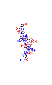 CC(C)C[C@H](NC(=O)[C@@H](NC(=O)[C@H](CCC(=O)O)NC(=O)[C@H](Cc1c[nH]cn1)NC(=O)[C@@H](NC(=O)[C@H](CO)NC(=O)[C@@H](N)CCC(N)=O)[C@@H](C)O)C(C)C)C(=O)N[C@@H](Cc1c[nH]cn1)C(=O)N1CCC[C@H]1C(=O)N[C@@H](Cc1ccc(O)cc1)C(=O)O